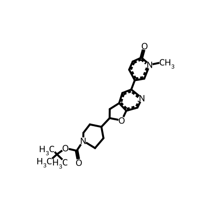 Cn1cc(-c2cc3c(cn2)OC(C2CCN(C(=O)OC(C)(C)C)CC2)C3)ccc1=O